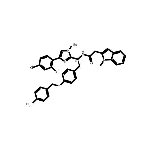 CCCCn1cc(-c2ccc(Cl)cc2Cl)nc1[C@H](Cc1ccc(OCc2ccc(C(=O)O)cc2)cc1)NC(=O)Cc1cc2ccccc2n1C